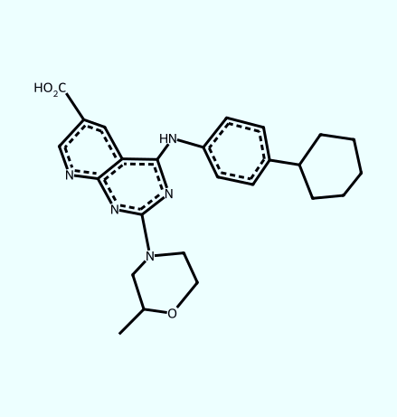 CC1CN(c2nc(Nc3ccc(C4CCCCC4)cc3)c3cc(C(=O)O)cnc3n2)CCO1